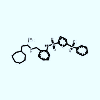 C[C@@H](CC1CCCCCC1)NCc1ccccc1NS(=O)(=O)c1ccc(S(=O)(=O)c2ccccc2)s1